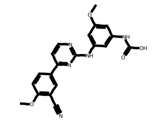 COc1cc(NC(=O)O)cc(Nc2nccc(-c3ccc(OC)c(C#N)c3)n2)c1